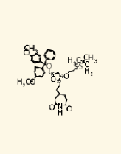 COc1ccc(C(OC[C@@H]2C[C@@H](OCCSSC(C)(C)C)[C@H](CCC3C=CC(=O)NC(=O)C3)O2)(c2ccccc2)c2ccc(OC)cc2)cc1